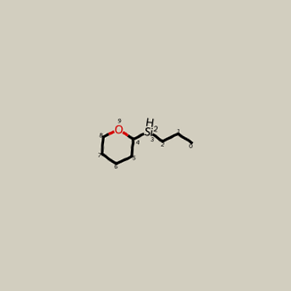 CCC[SiH2]C1CCCCO1